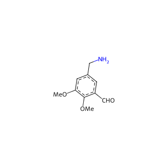 COc1cc(CN)cc(C=O)c1OC